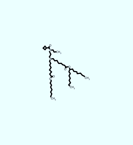 CCCCCCCCCOC(=O)CCCCCCCN(CCCCCCCC(=O)OC(CCCCCCCC)CCCCCCCC)CCCN(CCC)C(=O)C1CCC1